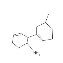 CC1C=CC=C(C2C=CCCC2N)C1